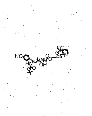 C[C@@H](C[C@H](Cc1ccc(O)cc1)NC(=O)OC(C)(C)C)C(=O)NNC(=O)OCCSSc1ncccc1[N+](=O)[O-]